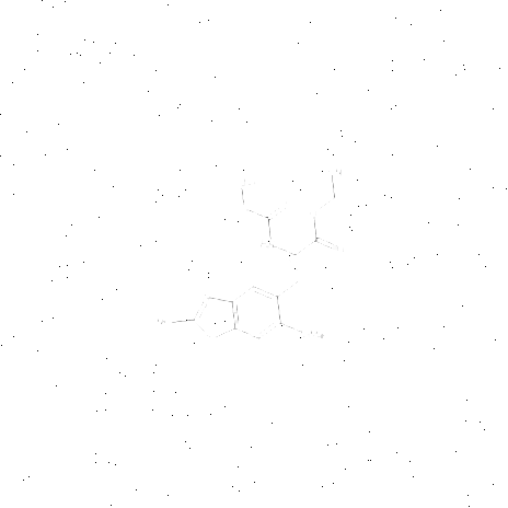 COc1cc2sc(C#N)nc2cc1C[C@H](NC(=O)OC(C)(C)C)C(=O)OCC#N